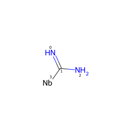 N=[C](N)[Nb]